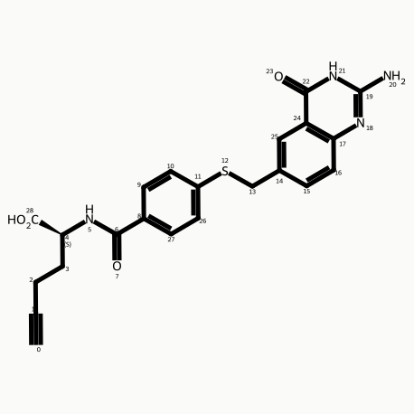 C#CCC[C@H](NC(=O)c1ccc(SCc2ccc3nc(N)[nH]c(=O)c3c2)cc1)C(=O)O